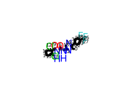 Cc1nc(NC(=O)NC(=O)c2c(Cl)cccc2Cl)cnc1-c1ccc(C(F)(F)F)cc1